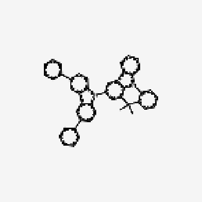 CC1(C)c2ccccc2-n2c3ccccc3c3cc(-n4c5ccc(-c6ccccc6)cc5c5cc(-c6ccccc6)ccc54)cc1c32